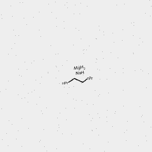 [CH2]CCCCCCC.[MgH2].[NaH]